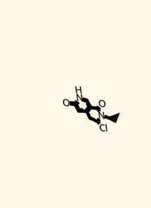 O=C1c2c[nH]c(=O)cc2CC(Cl)N1C1CC1